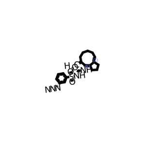 C=C1CCCC/C=C2/CCC/C2=C/1NC(=O)NS(=O)(=O)c1cccc(N=[N+]=[N-])c1